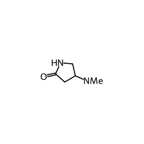 CNC1CNC(=O)C1